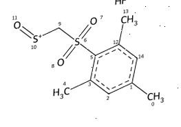 Cc1cc(C)c(S(=O)(=O)C[S+]=O)c(C)c1.F